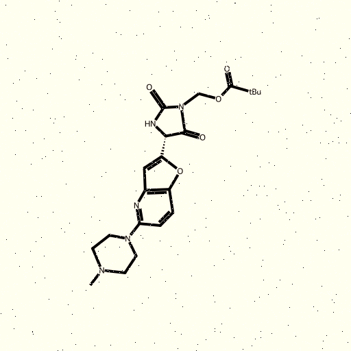 CN1CCN(c2ccc3oc([C@@H]4NC(=O)N(COC(=O)C(C)(C)C)C4=O)cc3n2)CC1